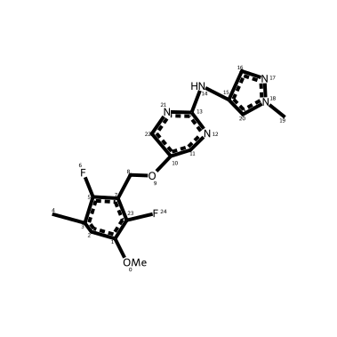 COc1cc(C)c(F)c(COc2cnc(Nc3cnn(C)c3)nc2)c1F